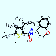 Cc1sc(C(=O)N[C@H]2CCOc3ccccc32)c(C(C)C)c1C